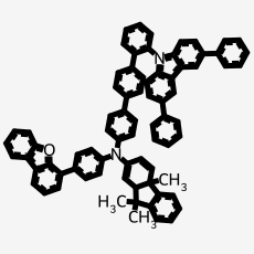 CC1(C)c2ccccc2C2(C)C=CC(N(c3ccc(-c4ccc(-c5ccccc5-n5c6ccc(-c7ccccc7)cc6c6cc(-c7ccccc7)ccc65)cc4)cc3)c3ccc(-c4cccc5c4oc4ccccc45)cc3)=CC12